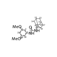 COc1cc(NC(=O)NC2C3CC4CC(C3)CC2C4)cc(OC)c1